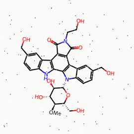 CO[C@H]1[C@H](O)[C@@H](O)[C@H](n2c3ccc(CO)cc3c3c4c(c5c6cc(CO)ccc6[nH]c5c32)C(=O)N(CCO)C4=O)O[C@@H]1CO